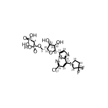 O=P(O)(O)CP(=O)(O)OC[C@H]1O[C@@H](c2cnc3c(N4CCC(F)(F)C4)cc(Cl)nn23)[C@H](O)[C@@H]1O